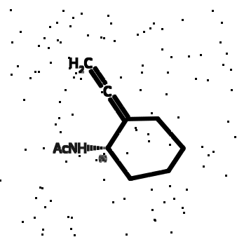 C=C=C1CCCC[C@@H]1NC(C)=O